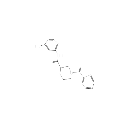 CC(C)(C)c1cccc(NC(=O)C2CCCN(C(=O)c3ccccc3)C2)c1